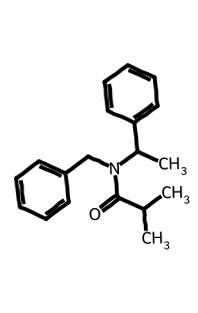 CC(C)C(=O)N(Cc1ccccc1)C(C)c1ccccc1